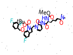 COC(=O)N[C@@H](CC/C=C/C(=O)N(C)C)C(=O)Nc1cccn(Cc2cc3cc(F)cc(OCc4ccc(F)cc4F)c3n2C(=O)OC(C)(C)C)c1=O